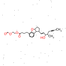 CC#CCC(C)C(O)/C=C/C1CCC2Oc3c(CCCC(=O)OCCOC=O)cccc3C12